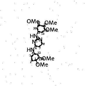 COc1ccc(Nc2ccnc(Nc3cc(OC)c(OC)c(OC)c3)n2)cc1OC